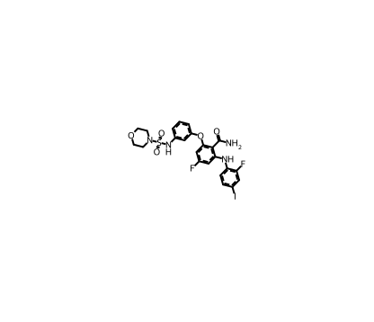 NC(=O)c1c(Nc2ccc(I)cc2F)cc(F)cc1Oc1cccc(NS(=O)(=O)N2CCOCC2)c1